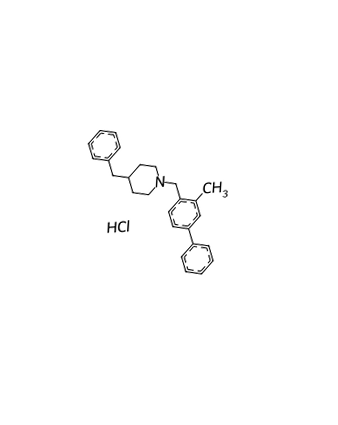 Cc1cc(-c2ccccc2)ccc1CN1CCC(Cc2ccccc2)CC1.Cl